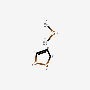 C1=CSSC1.CCSCC